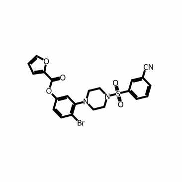 N#Cc1cccc(S(=O)(=O)N2CCN(c3cc(OC(=O)c4ccco4)ccc3Br)CC2)c1